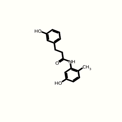 Cc1ccc(O)cc1NC(=O)CCc1cccc(O)c1